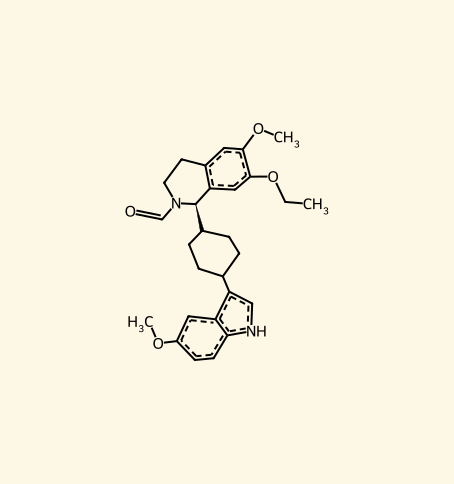 CCOc1cc2c(cc1OC)CCN(C=O)[C@@H]2C1CCC(c2c[nH]c3ccc(OC)cc23)CC1